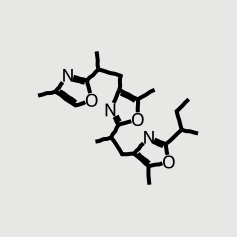 CCC(C)c1nc(CC(C)c2nc(CC(C)c3nc(C)co3)c(C)o2)c(C)o1